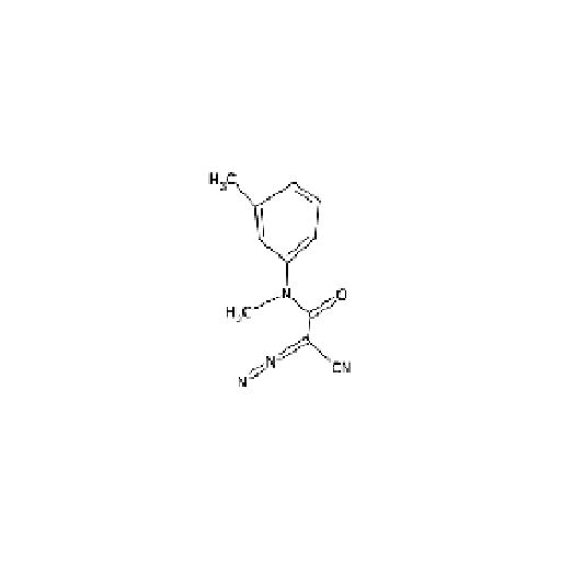 Cc1cccc(N(C)C(=O)C(C#N)=[N+]=[N-])c1